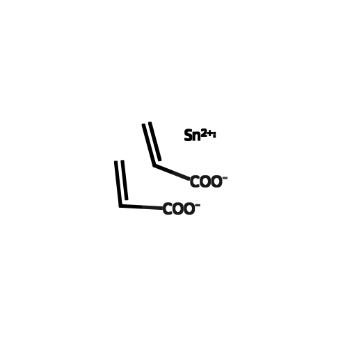 C=CC(=O)[O-].C=CC(=O)[O-].[Sn+2]